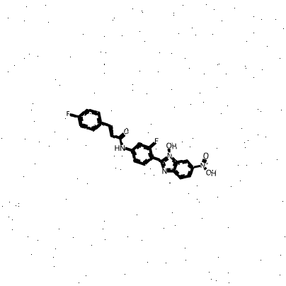 O=C(/C=C/c1ccc(F)cc1)Nc1ccc(-c2nc3ccc([N+](=O)O)cc3n2O)c(F)c1